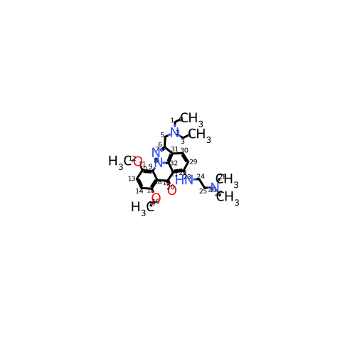 CCN(CC)Cc1nn2c3c(OC)ccc(OC)c3c(=O)c3c(NCCN(C)C)ccc1c32